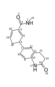 CNC(=O)C1=CC(c2ccc3c(c2)CCC(=O)N3)CC=C1